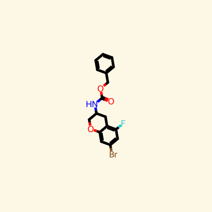 O=C(NC1COc2cc(Br)cc(F)c2C1)OCc1ccccc1